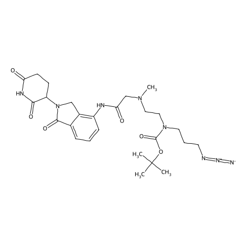 CN(CCN(CCCN=[N+]=[N-])C(=O)OC(C)(C)C)CC(=O)Nc1cccc2c1CN(C1CCC(=O)NC1=O)C2=O